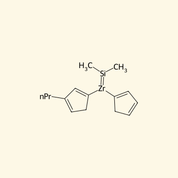 CCCC1=CC[C]([Zr]([C]2=CC=CC2)=[Si](C)C)=C1